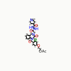 CC(=O)OCCOc1ccc(C(=O)N2CC(=O)N(CC(=O)NNC(=O)c3ccncc3)Cc3ccccc32)c(Cl)c1